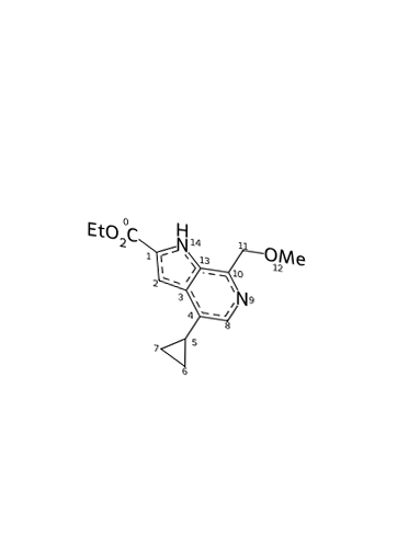 CCOC(=O)c1cc2c(C3CC3)cnc(COC)c2[nH]1